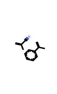 C=C(C)C#N.C=C(C)c1ccccc1